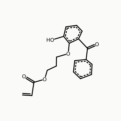 C=CC(=O)OCCCOc1c(O)cccc1C(=O)c1ccccc1